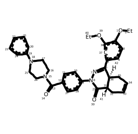 CCOc1ccc(C2=NN(c3ccc(C(=O)N4CCN(c5ccccc5)CC4)cc3)C(=O)[C@H]3CC=CC[C@H]23)cc1OCC